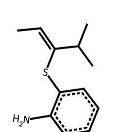 C/C=C(\Sc1ccccc1N)C(C)C